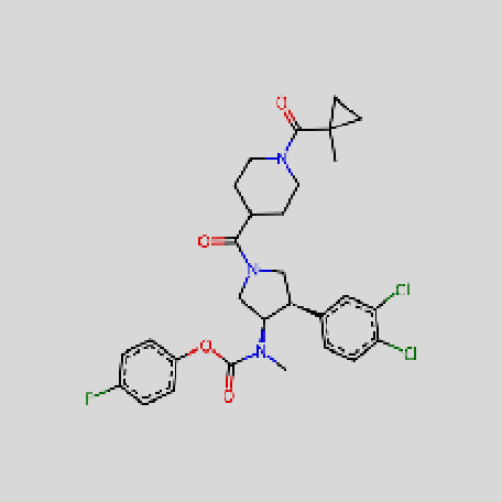 CN(C(=O)Oc1ccc(F)cc1)[C@H]1CN(C(=O)C2CCN(C(=O)C3(C)CC3)CC2)C[C@H]1c1ccc(Cl)c(Cl)c1